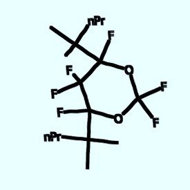 CCCC(C)(C)C1(F)OC(F)(F)OC(F)(C(C)(C)CCC)C1(F)F